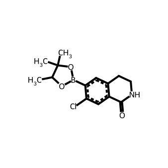 CC1OB(c2cc3c(cc2Cl)C(=O)NCC3)OC1(C)C